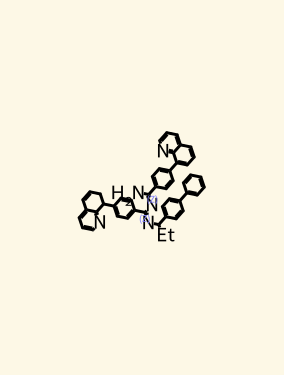 CCC(/N=C(\N=C(/N)c1ccc(-c2cccc3cccnc23)cc1)c1ccc(C2CC=Cc3cccnc32)cc1)c1ccc(-c2ccccc2)cc1